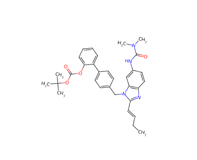 CC/C=C/c1nc2ccc(NC(=O)N(C)C)cc2n1Cc1ccc(-c2ccccc2OC(=O)OC(C)(C)C)cc1